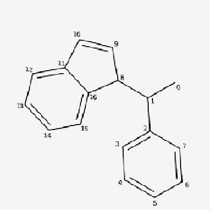 CC(c1ccccc1)C1C=Cc2ccccc21